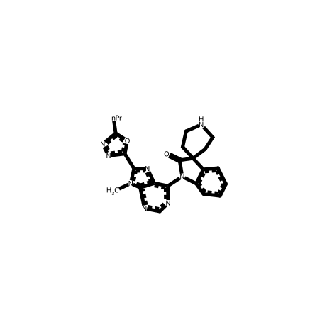 CCCc1nnc(-c2nc3c(N4C(=O)C5(CCNCC5)c5ccccc54)ncnc3n2C)o1